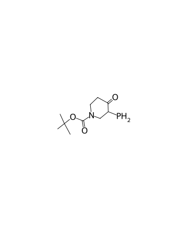 CC(C)(C)OC(=O)N1CCC(=O)C(P)C1